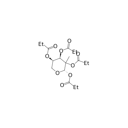 CCC(=O)O[C@@H]1OC[C@@H](OC(=O)CC)[C@@H](OC(=O)CC)C1(C)OC(=O)CC